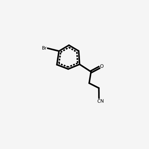 N#CCCC(=O)c1ccc(Br)cc1